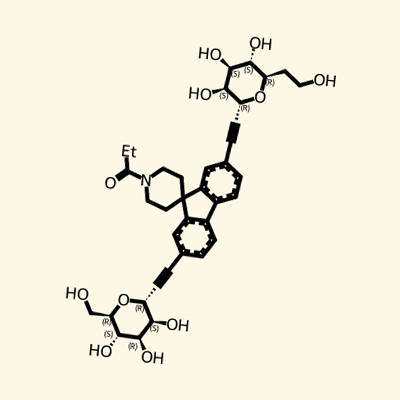 CCC(=O)N1CCC2(CC1)c1cc(C#C[C@H]3O[C@H](CO)[C@@H](O)[C@H](O)[C@@H]3O)ccc1-c1ccc(C#C[C@H]3O[C@H](CCO)[C@@H](O)[C@H](O)[C@@H]3O)cc12